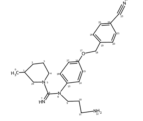 CC1CCCN(C(=N)N(CCCN)c2ccc(OCc3ccc(C#N)cc3)cc2)C1